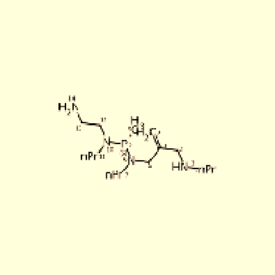 C=C(CNCCC)CN(CCC)[P@@](C)N(CCC)CCN